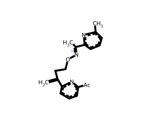 C=C(CCO/N=C(\C)c1cccc(C)n1)c1cccc(C(C)=O)n1